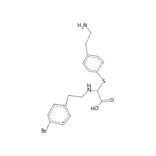 NCCc1ccc(SC(NCCc2ccc(Br)cc2)C(=O)O)cc1